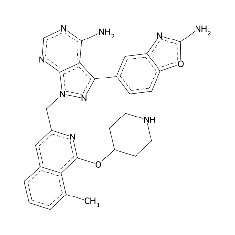 Cc1cccc2cc(Cn3nc(-c4ccc5oc(N)nc5c4)c4c(N)ncnc43)nc(OC3CCNCC3)c12